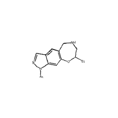 CCC1CNCc2cc3cnn(C(C)=O)c3cc2O1